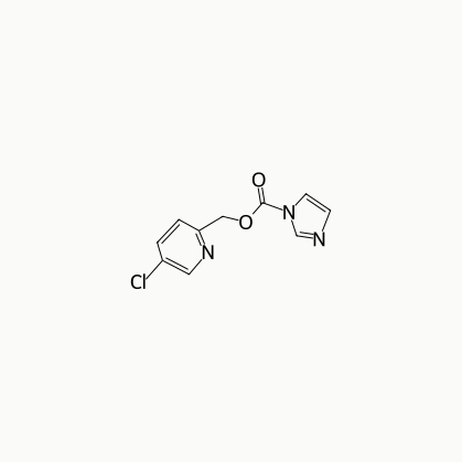 O=C(OCc1ccc(Cl)cn1)n1ccnc1